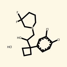 Cl.OC(CN1CCCC(F)(F)C1)C1(c2ccc(Cl)c(Cl)c2)CCC1